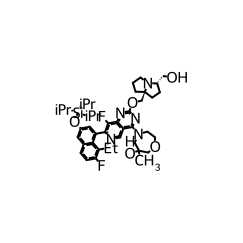 CCc1c(F)ccc2cc(O[Si](C(C)C)(C(C)C)C(C)C)cc(-c3ncc4c(N5CCOCC(C)(O)C5)nc(OC[C@@]56CCCN5[C@H](CO)CC6)nc4c3F)c12